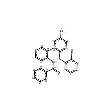 Cc1ccc(Sc2ccccc2Br)c(-c2ccccc2NC(=O)c2ccccn2)c1